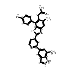 Cc1cc2nc(-c3ccnc(-c4cc(C)c5[nH]ncc5c4)c3)sc2c(-c2ccc(Cl)cc2)c1CC(=O)O